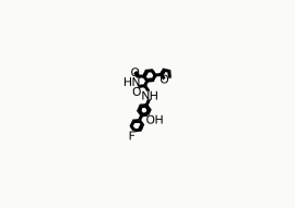 O=C1NC(=O)C(CNCc2ccc(C3=CCC(F)C=C3)c(O)c2)C2=CC(C3=CCCO3)CC=C12